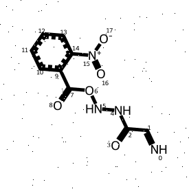 N=CC(=O)NNOC(=O)c1ccccc1[N+](=O)[O-]